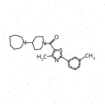 Cc1cccc(-c2nc(C)c(C(=O)N3CCC(N4CCCCCC4)CC3)s2)c1